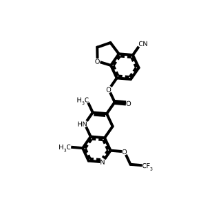 CC1=C(C(=O)Oc2ccc(C#N)c3c2OCC3)Cc2c(OCC(F)(F)F)ncc(C)c2N1